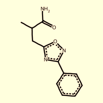 C[C](Cc1nc(-c2ccccc2)no1)C(N)=O